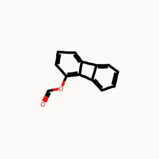 O=[C]Oc1cccc2c1-c1ccccc1-2